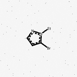 CCn1n[c]cc1Br